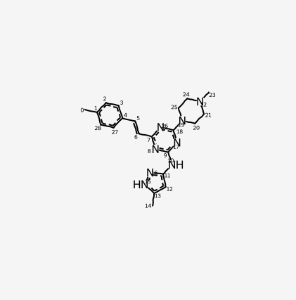 Cc1ccc(/C=C/c2nc(Nc3cc(C)[nH]n3)nc(N3CCN(C)CC3)n2)cc1